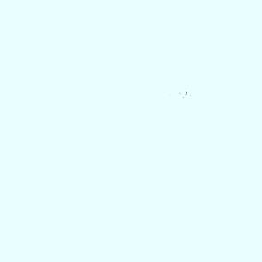 [CH2-][OH+]c1cccc(CC)c1